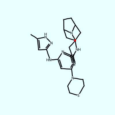 Cc1cc(Nc2cc(N3CCSCC3)nc(NC3CC4CCC(C3)N4CCC#N)n2)n[nH]1